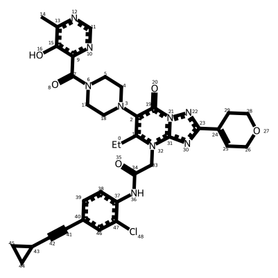 CCc1c(N2CCN(C(=O)c3ncnc(C)c3O)CC2)c(=O)n2nc(C3=CCOCC3)nc2n1CC(=O)Nc1ccc(C#CC2CC2)cc1Cl